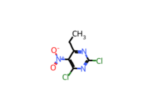 CCc1nc(Cl)nc(Cl)c1[N+](=O)[O-]